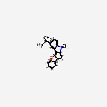 CC(C)c1ccc2c(c1)c1c3oc4ccccc4c3ccc1n2C